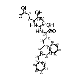 O=C(O)CCC(NC(=O)N[C@@H](CCCCN(Cc1ccccn1)Cc1ccccn1)C(=O)O)C(=O)O